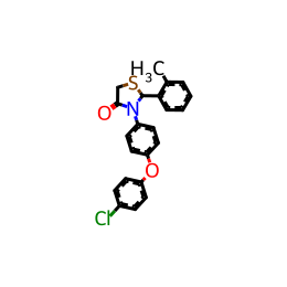 Cc1ccccc1C1SCC(=O)N1c1ccc(Oc2ccc(Cl)cc2)cc1